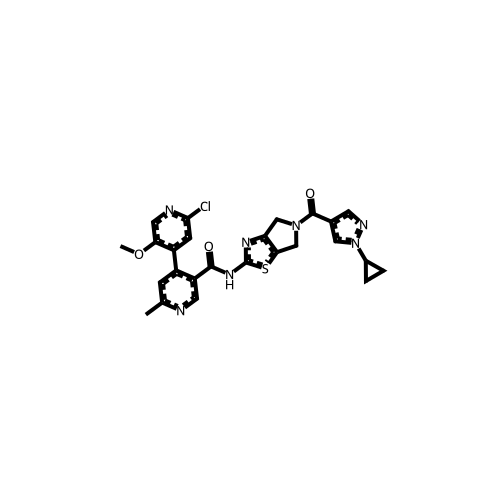 COc1cnc(Cl)cc1-c1cc(C)ncc1C(=O)Nc1nc2c(s1)CN(C(=O)c1cnn(C3CC3)c1)C2